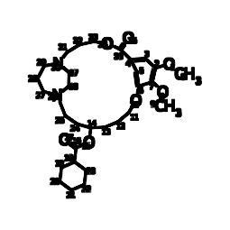 COc1cc2cc(c1OC)OCCCC(OC(=O)C1CCCCC1)CCN1CCCN(CCCOC2=O)CC1